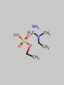 CCN(C)C.CCOS(=O)(=O)O.N